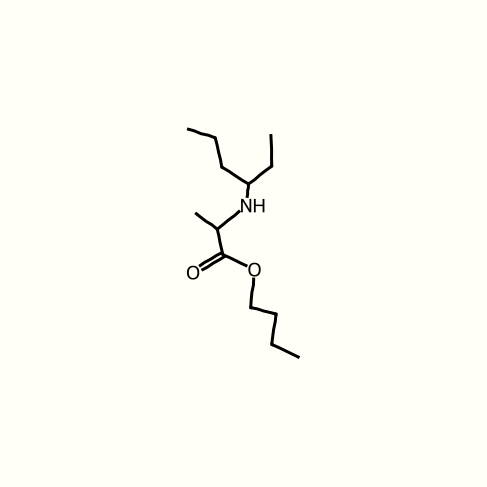 CCCCOC(=O)C(C)NC(CC)CCC